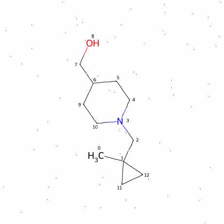 CC1(CN2CCC(CO)CC2)CC1